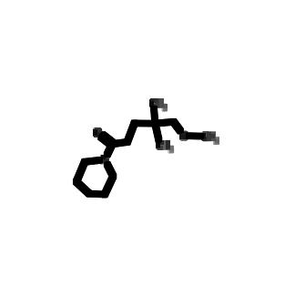 COCC(C)(C)CCC(=O)N1CCCCC1